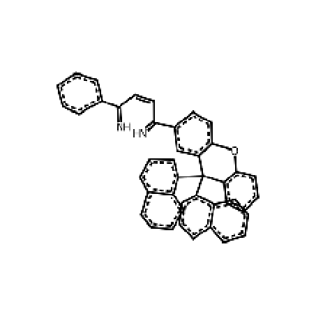 N=C(/C=C\C(=N)c1ccc2c(c1)C(c1cccc3ccccc13)(c1cccc3ccccc13)c1ccccc1O2)c1ccccc1